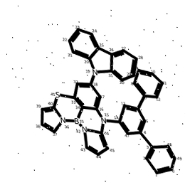 c1ccc(-c2cc(-c3ccccc3)cc(N3c4cc(-n5c6ccccc6c6ccccc65)cc5c4B(n4cccc4S5)n4cccc43)c2)cc1